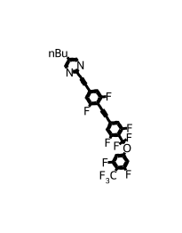 CCCCc1cnc(C#Cc2cc(F)c(C#Cc3cc(F)c(C(F)(F)Oc4cc(F)c(C(F)(F)F)c(F)c4)c(F)c3)c(F)c2)nc1